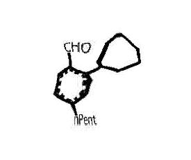 CCCCCc1ccc(C=O)c(C2CCCCC2)c1